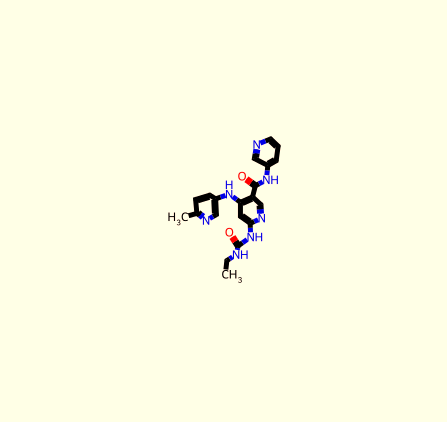 CCNC(=O)Nc1cc(Nc2ccc(C)nc2)c(C(=O)Nc2cccnc2)cn1